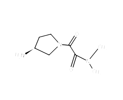 CN(C)C(=O)C(=O)N1CC[C@H](N)C1